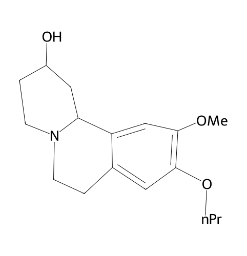 CCCOc1cc2c(cc1OC)C1CC(O)CCN1CC2